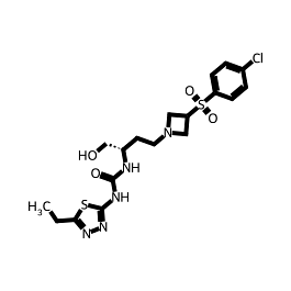 CCc1nnc(NC(=O)N[C@H](CO)CCN2CC(S(=O)(=O)c3ccc(Cl)cc3)C2)s1